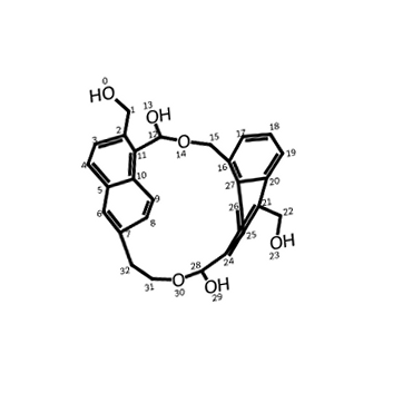 OCc1ccc2cc3ccc2c1C(O)OCc1cccc2c(CO)c(ccc12)C(O)OCC3